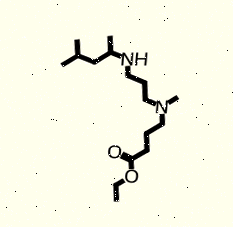 CCOC(=O)CCCN(C)CCCNC(C)CC(C)C